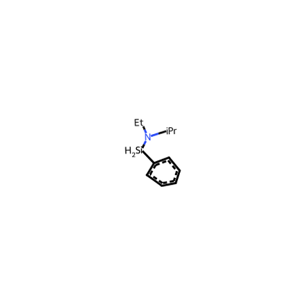 CCN([SiH2]c1ccccc1)C(C)C